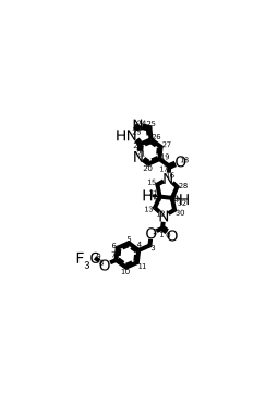 O=C(OCc1ccc(OC(F)(F)F)cc1)N1C[C@@H]2CN(C(=O)c3cnc4[nH]ncc4c3)C[C@H]2C1